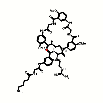 COc1ccc(NC(=O)CNC(=O)c2cc(NC(=O)CNC(=O)c3cc(NC(=O)[C@@H](CCCNC(=N)N)NC(=O)c4cc(NC(=O)CNC(=O)CCCCN)ccc4OC)ccc3OC)ccc2OC)cc1C(=O)NCCN